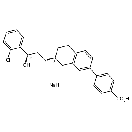 O=C(O)c1ccc(-c2ccc3c(c2)C[C@@H](NC[C@@H](O)c2ccccc2Cl)CC3)cc1.[NaH]